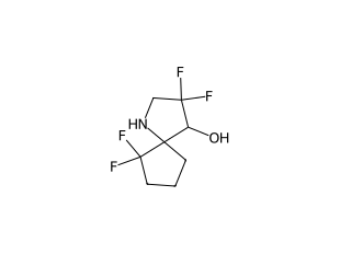 OC1C(F)(F)CNC12CCCC2(F)F